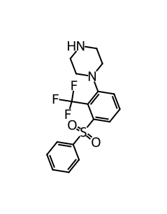 O=S(=O)(c1ccccc1)c1cccc(N2CCNCC2)c1C(F)(F)F